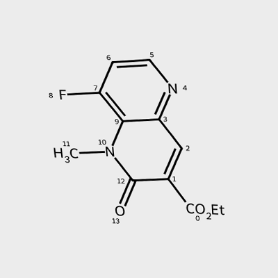 CCOC(=O)c1cc2nccc(F)c2n(C)c1=O